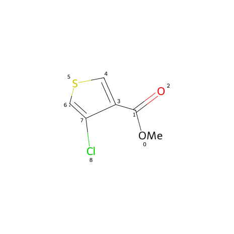 COC(=O)c1cs[c]c1Cl